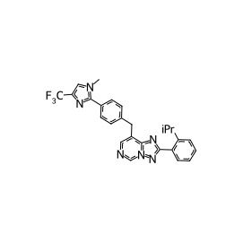 CC(C)c1ccccc1-c1nc2c(Cc3ccc(-c4nc(C(F)(F)F)cn4C)cc3)cncn2n1